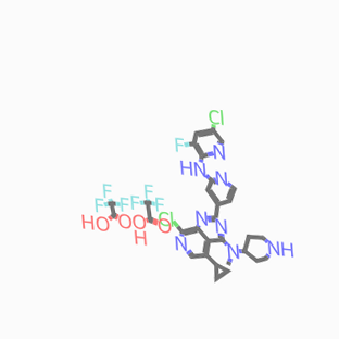 CN(c1nc(-c2ccnc(Nc3ncc(Cl)cc3F)c2)nc2c(Cl)ncc(C3CC3)c12)C1CCNCC1.O=C(O)C(F)(F)F.O=C(O)C(F)(F)F